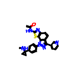 CNC1(c2ccc(-n3nc(-c4cccnc4)c4c3-c3sc(NC(C)=O)nc3CC4)cc2)CC1